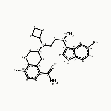 C[C@H](CCN(C1CCC1)[C@@H]1COc2c(F)ccc(C(N)=O)c2C1)c1c[nH]c2ccc(F)cc12